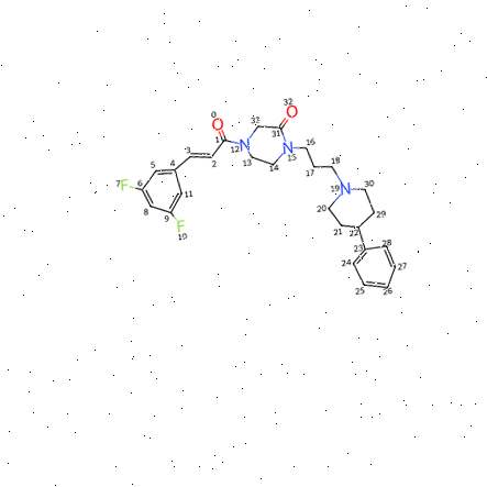 O=C(C=Cc1cc(F)cc(F)c1)N1CCN(CCCN2CCC(c3ccccc3)CC2)C(=O)C1